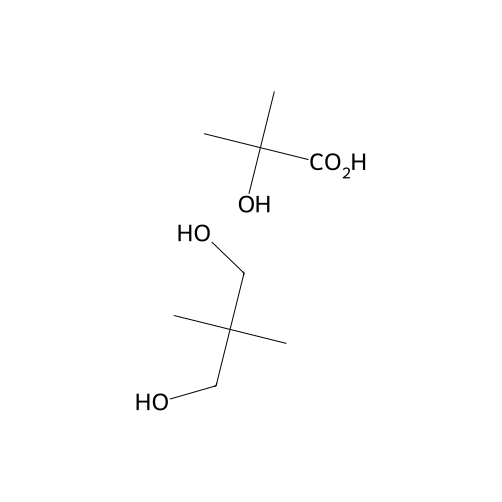 CC(C)(CO)CO.CC(C)(O)C(=O)O